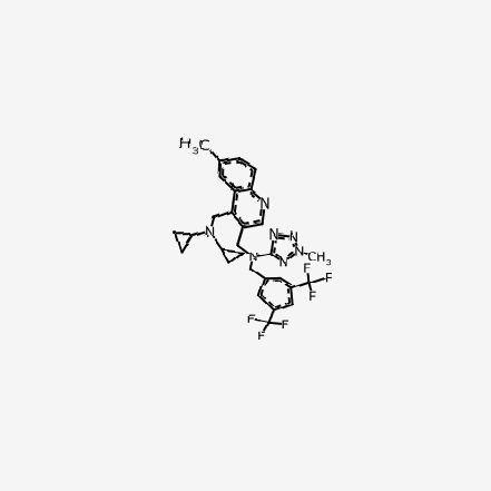 Cc1ccc2ncc(CN(Cc3cc(C(F)(F)F)cc(C(F)(F)F)c3)c3nnn(C)n3)c(CN(C3CC3)C3CC3)c2c1